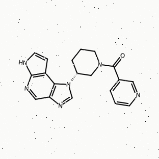 O=C(c1cccnc1)N1CCC[C@@H](n2cnc3cnc4[nH]ccc4c32)C1